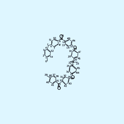 Cc1ccc(Cc2ccc(C(=O)c3ccc(Oc4ccc(C(C)(C)c5ccc(Oc6ccc(C(=O)c7ccc(C)cc7)cc6)cc5)cc4)cc3)cc2)cc1